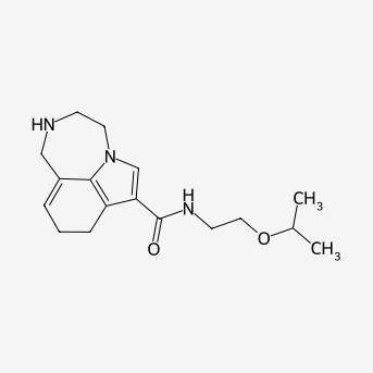 CC(C)OCCNC(=O)c1cn2c3c1CCC=C3CNCC2